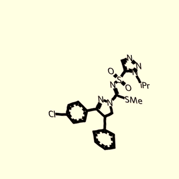 CSC(=NS(=O)(=O)c1cnnn1C(C)C)N1CC(c2ccccc2)C(c2ccc(Cl)cc2)=N1